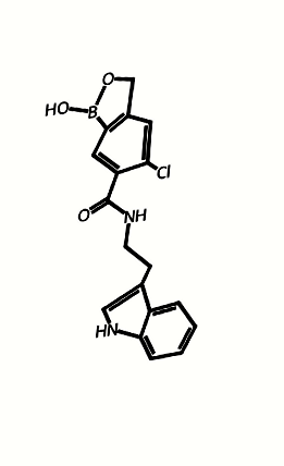 O=C(NCCc1c[nH]c2ccccc12)c1cc2c(cc1Cl)COB2O